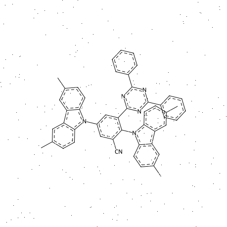 Cc1ccc2c(c1)c1cc(C)ccc1n2-c1cc(C#N)c(-n2c3ccc(C)cc3c3cc(C)ccc32)c(-c2nc(-c3ccccc3)nc(-c3ccccc3)n2)c1